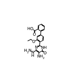 CCOc1cc(-c2ccccc2C(=O)O)ccc1-c1nc(NN)c(N)c(=O)[nH]1